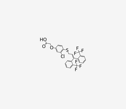 O=C(O)COc1ccc(SCC=C(c2ccccc2C(F)(F)F)c2ccccc2C(F)(F)F)c(Cl)c1